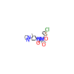 Cc1cc(NC(=O)C2(NC(=O)c3ccc(Cl)s3)CCOC2)ccc1N1CCCCN1C